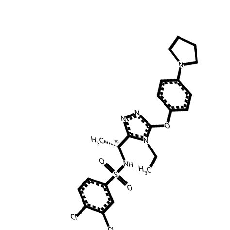 CCn1c(Oc2ccc(N3CCCC3)cc2)nnc1[C@@H](C)NS(=O)(=O)c1ccc(Cl)c(Cl)c1